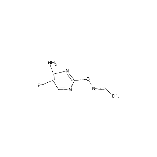 CC=NOc1ncc(F)c(N)n1